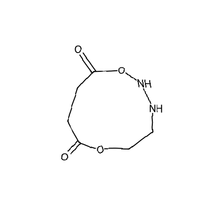 O=C1CCC(=O)ONNCCO1